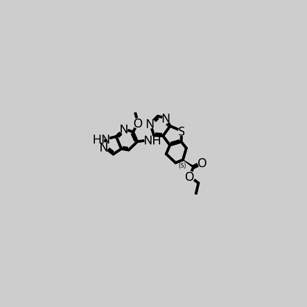 CCOC(=O)[C@H]1CCc2c(sc3ncnc(Nc4cc5cn[nH]c5nc4OC)c23)C1